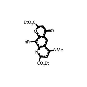 CCCc1c2nc(C(=O)OCC)cc(NC)c2cc2c(=O)cc(C(=O)OCC)oc12